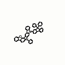 c1ccc(-n2c3cc4c(cc3c3c5oc6ccccc6c5ccc32)c2ccccc2n4-c2ccc3c(c2)C(c2ccccc2)(c2ccccc2)c2ccccc2-3)cc1